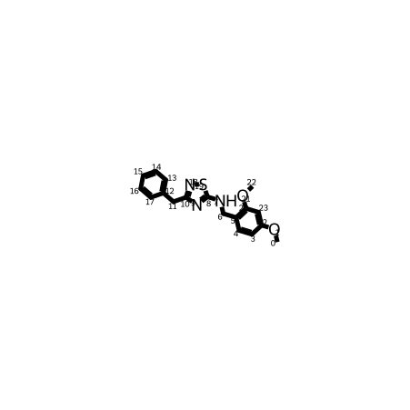 COc1ccc(CNc2nc(Cc3ccccc3)ns2)c(OC)c1